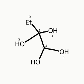 [CH2]CC(O)(O)[C](O)O